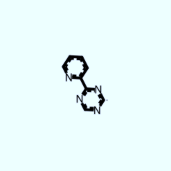 [c]1ncnc(-c2ccccn2)n1